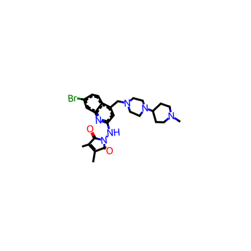 CC1=C(C)C(=O)N(Nc2cc(CN3CCN(C4CCN(C)CC4)CC3)c3ccc(Br)cc3n2)C1=O